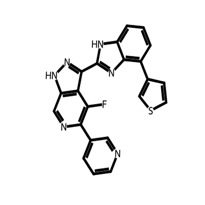 Fc1c(-c2cccnc2)ncc2[nH]nc(-c3nc4c(-c5ccsc5)cccc4[nH]3)c12